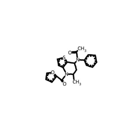 CC(=O)N(c1ccccc1)C1CC(C)N(C(=O)c2ccco2)c2ccsc21